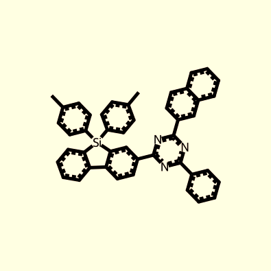 Cc1ccc([Si]2(c3ccc(C)cc3)c3ccccc3-c3ccc(-c4nc(-c5ccccc5)nc(-c5ccc6ccccc6c5)n4)cc32)cc1